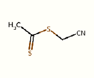 CC(=S)SCC#N